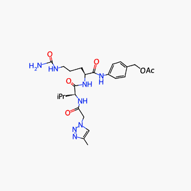 CC(=O)OCc1ccc(NC(=O)[C@H](CCCNC(N)=O)NC(=O)[C@@H](NC(=O)Cn2cc(C)nn2)C(C)C)cc1